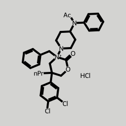 CCCC1(c2ccc(Cl)c(Cl)c2)COC(=O)[N+](Cc2ccccc2)(N2CCC(N(C(C)=O)c3ccccc3)CC2)C1.Cl